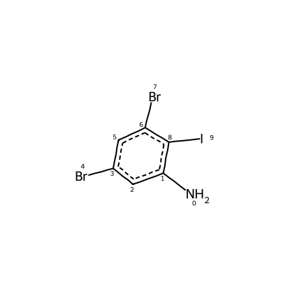 Nc1cc(Br)cc(Br)c1I